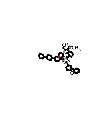 C=Cc1c(/C=C\C)c2cccc(-c3nc(-c4ccc(-c5ccc(-c6ccccc6)cc5)cc4)nc(-c4ccc5oc6ccccc6c5c4)n3)c2n1-c1ccccc1